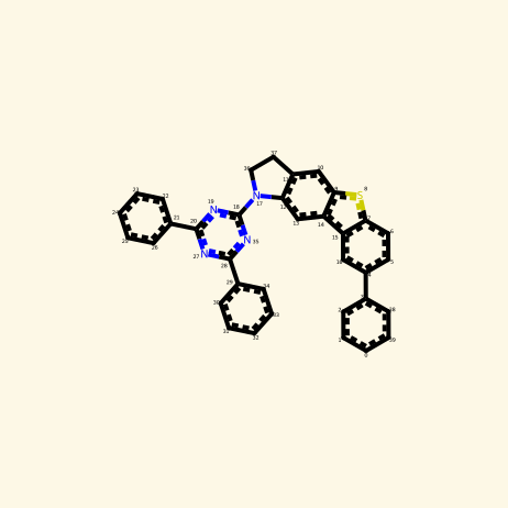 c1ccc(-c2ccc3sc4cc5c(cc4c3c2)N(c2nc(-c3ccccc3)nc(-c3ccccc3)n2)CC5)cc1